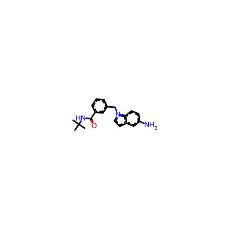 CC(C)(C)NC(=O)c1cccc(Cn2ccc3cc(N)ccc32)c1